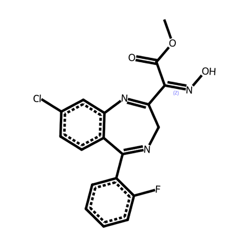 COC(=O)/C(=N\O)C1=Nc2cc(Cl)ccc2C(c2ccccc2F)=NC1